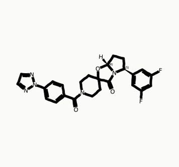 O=C(c1ccc(-n2nccn2)cc1)N1CCC2(CC1)O[C@@H]1CC[C@@H](c3cc(F)cc(F)c3)N1C2=O